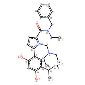 CCN(CC)Cn1c(C(=O)N(CC)Cc2ccccc2)ccc1-c1cc(C(C)C)c(O)cc1O